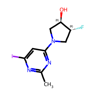 Cc1nc(I)cc(N2C[C@@H](O)[C@H](F)C2)n1